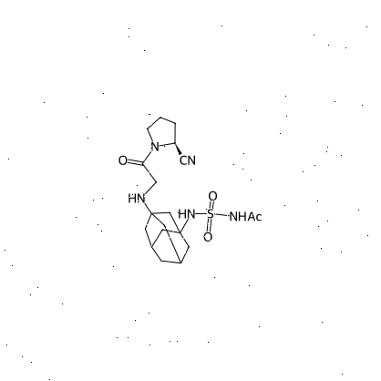 CC(=O)NS(=O)(=O)NC12CC3CC(CC(NCC(=O)N4CCC[C@H]4C#N)(C3)C1)C2